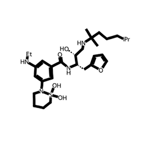 CCNc1cc(C(=O)N[C@@H](Cc2ccco2)[C@H](O)CNC(C)(C)CCCC(C)C)cc(N2CCCCS2(O)O)c1